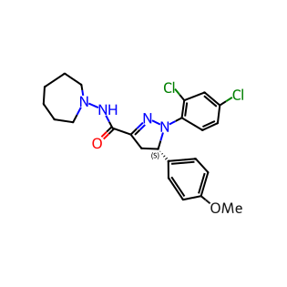 COc1ccc([C@@H]2CC(C(=O)NN3CCCCCC3)=NN2c2ccc(Cl)cc2Cl)cc1